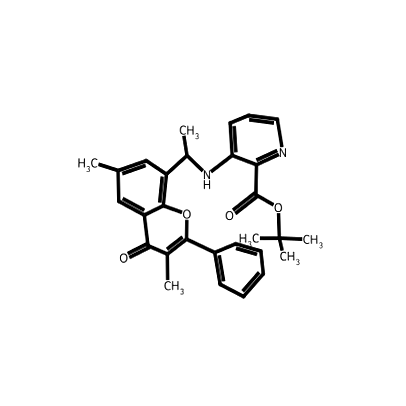 Cc1cc(C(C)Nc2cccnc2C(=O)OC(C)(C)C)c2oc(-c3ccccc3)c(C)c(=O)c2c1